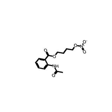 CC(=O)Nc1ccccc1C(=O)OCCCCO[N+](=O)[O-]